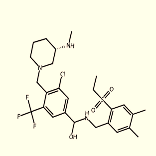 CCS(=O)(=O)c1cc(C)c(C)cc1CNC(O)c1cc(Cl)c(CN2CCC[C@H](NC)C2)c(C(F)(F)F)c1